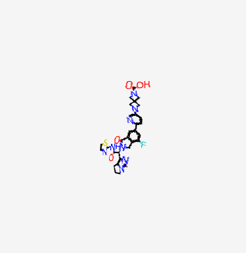 O=C(Nc1nccs1)C(c1ncn2c1CCC2)N1Cc2c(F)cc(-c3ccc(N4CC5(CN(C(=O)O)C5)C4)cn3)cc2C1=O